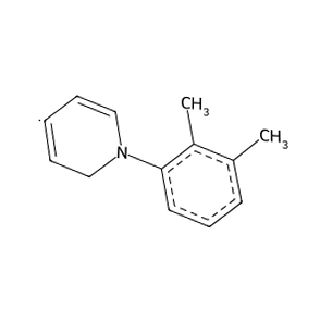 Cc1cccc(N2C=C[C]=CC2)c1C